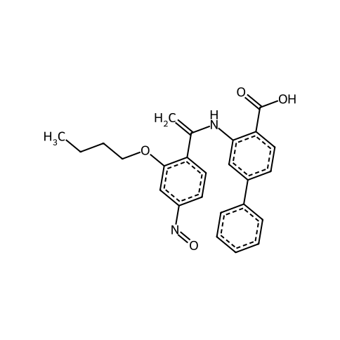 C=C(Nc1cc(-c2ccccc2)ccc1C(=O)O)c1ccc(N=O)cc1OCCCC